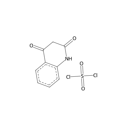 O=C1CC(=O)c2ccccc2N1.O=S(=O)(Cl)Cl